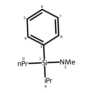 CCC[Si](NC)(c1ccccc1)C(C)C